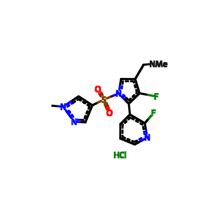 CNCc1cn(S(=O)(=O)c2cnn(C)c2)c(-c2cccnc2F)c1F.Cl